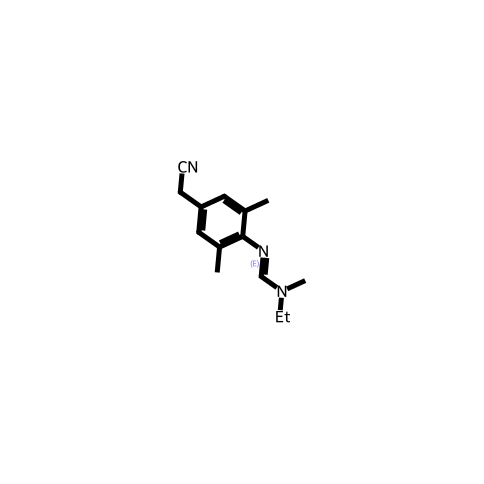 CCN(C)/C=N/c1c(C)cc(CC#N)cc1C